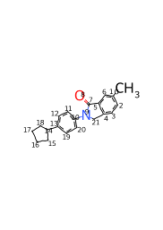 Cc1ccc2c(c1)C(=O)N(c1ccc(C3CCCC3)cc1)C2